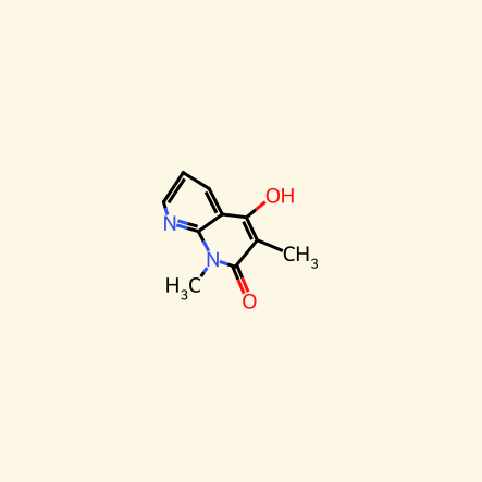 Cc1c(O)c2cccnc2n(C)c1=O